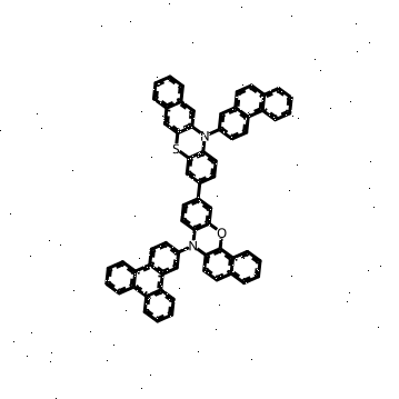 c1ccc2cc3c(cc2c1)Sc1cc(-c2ccc4c(c2)Oc2c(ccc5ccccc25)N4c2ccc4c5ccccc5c5ccccc5c4c2)ccc1N3c1ccc2c(ccc3ccccc32)c1